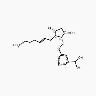 CC(C)C(O)c1cccc(OC[C@@H]2[C@@H](CC=CCCCC(=O)O)[C@H](Cl)C[C@H]2O)c1